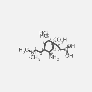 CN(C)CCC1CCC(CCB(O)O)(C(=O)O)CC1N.Cl.Cl